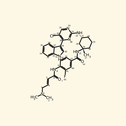 CN(C)C/C=C/C(=O)Nc1ccc(C(=O)N[C@@]2(C)CCC[C@@H](Nc3ncc(Cl)c(-c4c[nH]c5ccccc45)n3)C2)cc1F